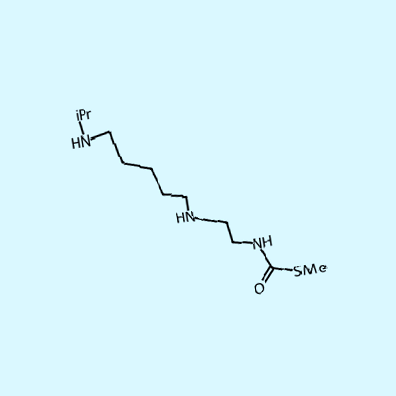 CSC(=O)NCCNCCCCCNC(C)C